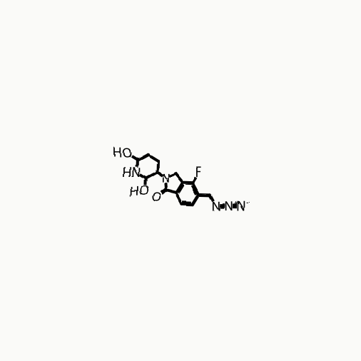 [N-]=[N+]=NCc1ccc2c(c1F)CN(C1CCC(O)NC1O)C2=O